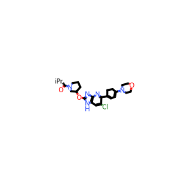 CC(C)C(=O)N1CCCC(Oc2nc3nc(C4=CC=C(N5CCOCC5)CC4)c(Cl)cc3[nH]2)C1